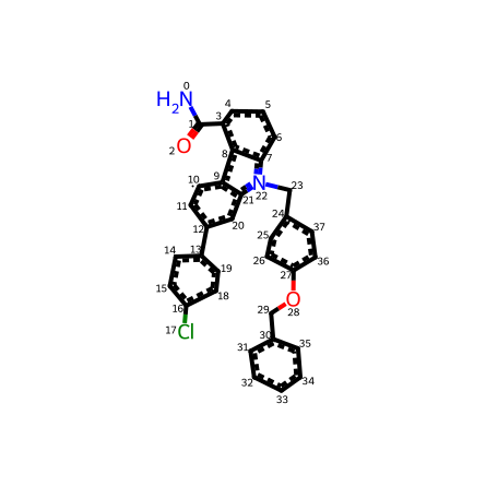 NC(=O)c1cccc2c1c1[c]cc(-c3ccc(Cl)cc3)cc1n2Cc1ccc(OCc2ccccc2)cc1